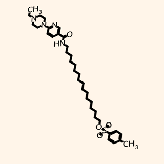 CCN1CCN(c2ccc(C(=O)NCCCCCCCCCCCCCCCCCOS(=O)(=O)c3ccc(C)cc3)cn2)CC1